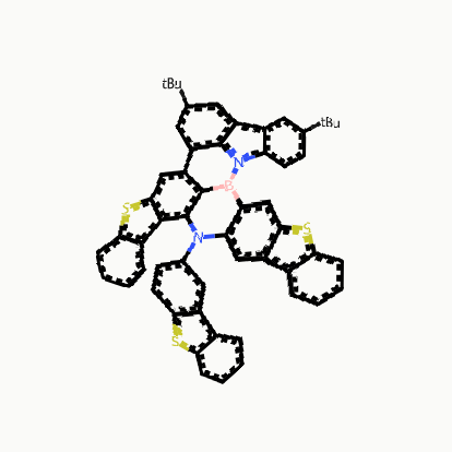 CC(C)(C)c1ccc2c(c1)c1cc(C(C)(C)C)cc3c1n2B1c2cc4sc5ccccc5c4cc2N(c2ccc4sc5ccccc5c4c2)c2c1c-3cc1sc3ccccc3c21